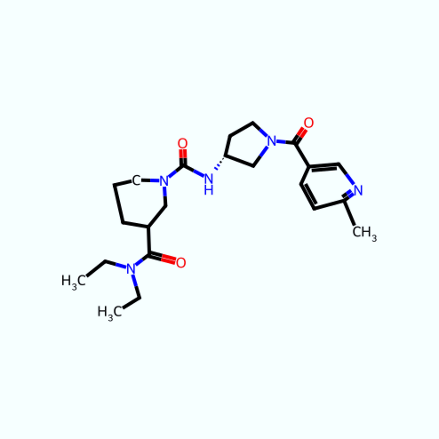 CCN(CC)C(=O)C1CCCN(C(=O)N[C@@H]2CCN(C(=O)c3ccc(C)nc3)C2)C1